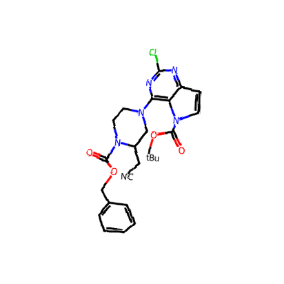 CC(C)(C)OC(=O)n1ccc2nc(Cl)nc(N3CCN(C(=O)OCc4ccccc4)C(CC#N)C3)c21